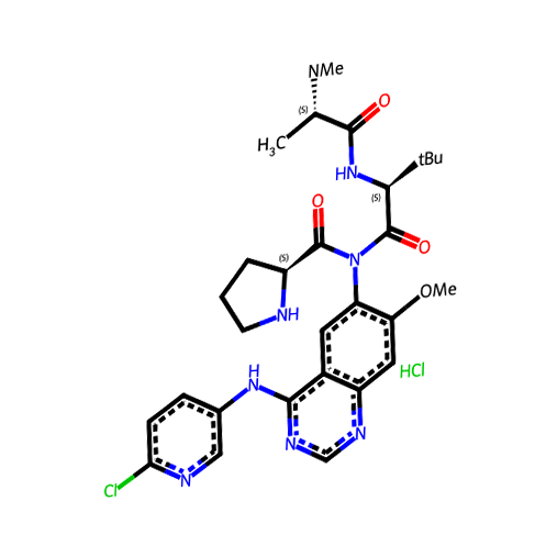 CN[C@@H](C)C(=O)N[C@H](C(=O)N(C(=O)[C@@H]1CCCN1)c1cc2c(Nc3ccc(Cl)nc3)ncnc2cc1OC)C(C)(C)C.Cl